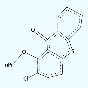 CCCOc1c(Cl)ccc2sc3ccccc3c(=O)c12